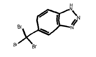 BrC(Br)(Br)c1ccc2[nH]nnc2c1